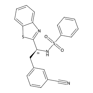 N#Cc1cccc(C[C@H](NS(=O)(=O)c2ccccc2)c2nc3ccccc3s2)c1